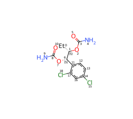 CC[C@H](OC(N)=O)[C@@H](OC(N)=O)c1ccc(Cl)cc1Cl